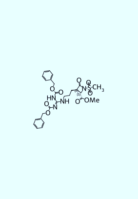 COC(=O)[C@@H]1[C@@H](CCCNC(=NC(=O)OCc2ccccc2)NC(=O)OCc2ccccc2)C(=O)N1S(C)(=O)=O